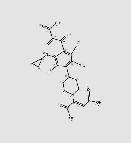 O=C(O)/C=C(/C(=O)O)N1CCN(c2c(F)c(F)c3c(=O)c(C(=O)O)cn(C4CC4)c3c2F)CC1